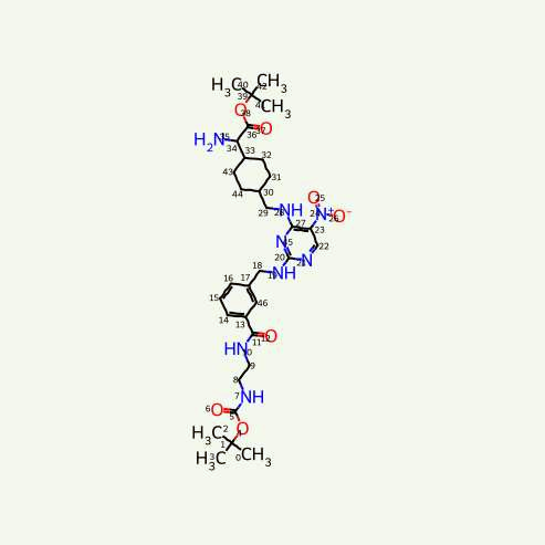 CC(C)(C)OC(=O)NCCNC(=O)c1cccc(CNc2ncc([N+](=O)[O-])c(NCC3CCC(C(N)C(=O)OC(C)(C)C)CC3)n2)c1